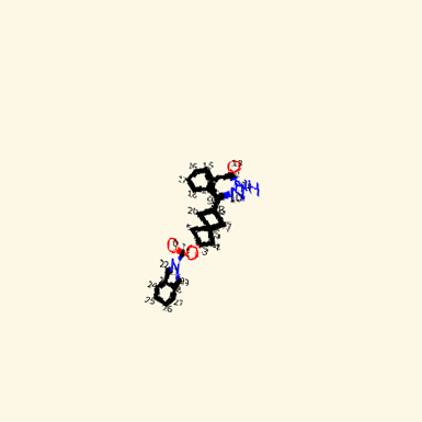 O=C(OC1CC2(C1)CC(c1n[nH]c(=O)c3ccccc13)C2)n1cc2ccccc2c1